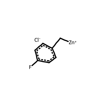 Fc1ccc([CH2][Zn+])cc1.[Cl-]